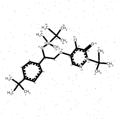 CC(C)(C)c1ccc(C(COc2cnn(C(C)(C)C)c(=O)c2Cl)O[Si](C)(C)C(C)(C)C)cc1